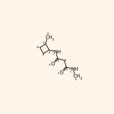 CNC(=O)CC(=O)NC1CCC1C